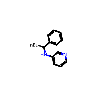 CCCCC(Nc1cccnc1)c1ccccc1